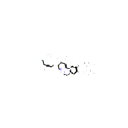 COc1cc2c(cc1OC)[C@@H]1CC(OC(C)=O)[C@@H](CCC(C)(C)CC[19F])CN1CC2